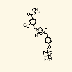 COC(=O)c1ccc(CN2C[C@@H]3C[C@H]2CN3Cc2ccc(OCC(F)(F)C(F)(F)C(F)(F)F)cc2)c(OC)c1